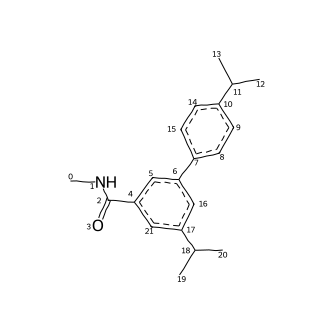 CNC(=O)c1cc(-c2ccc(C(C)C)cc2)cc(C(C)C)c1